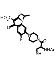 CC(=O)NC(CS)C(=O)N1CCN(c2cc3c(cc2F)c(=O)c(C(=O)O)c2n3C(C)S2)CC1